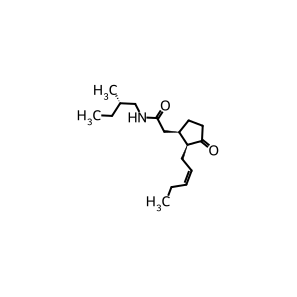 CC/C=C\C[C@@H]1C(=O)CC[C@@H]1CC(=O)NC[C@@H](C)CC